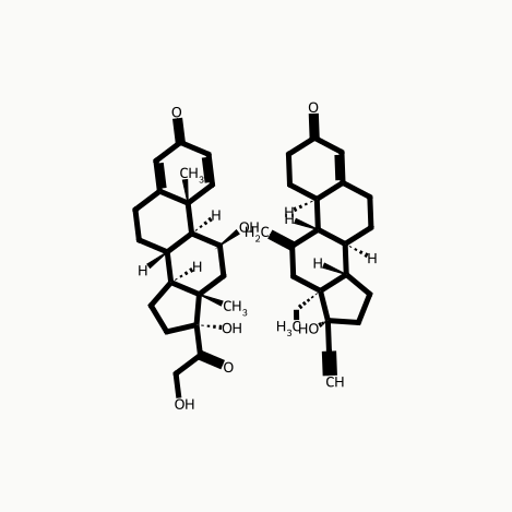 C#C[C@]1(O)CC[C@H]2[C@@H]3CCC4=CC(=O)CC[C@@H]4[C@H]3C(=C)C[C@@]21CC.C[C@]12C=CC(=O)C=C1CC[C@@H]1[C@@H]2[C@@H](O)C[C@@]2(C)[C@H]1CC[C@]2(O)C(=O)CO